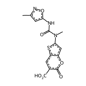 Cc1cc(NC(=O)N(C)c2cc3oc(=O)c(C(=O)O)cc3s2)on1